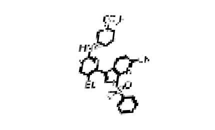 CCc1cnc(N[C@H]2CCCN(C(=O)O)C2)nc1-c1cn(S(=O)(=O)c2ccccc2)c2nc(C#N)ccc12